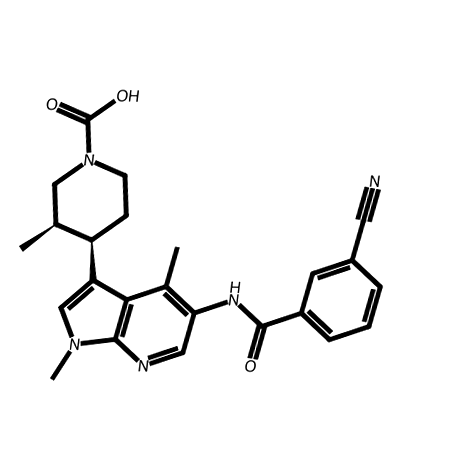 Cc1c(NC(=O)c2cccc(C#N)c2)cnc2c1c([C@@H]1CCN(C(=O)O)C[C@@H]1C)cn2C